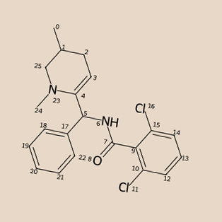 CC1CC=C(C(NC(=O)c2c(Cl)cccc2Cl)c2ccccc2)N(C)C1